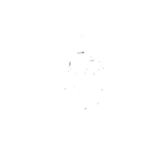 COC(=O)c1sccc1N1C(=O)CCCC1C1CCCCC1